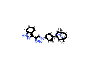 c1ccc2c(-c3cn(-c4ccc([C@@H]5C[C@H]6CC[C@@H](C5)N6)cc4)nn3)n[nH]c2c1